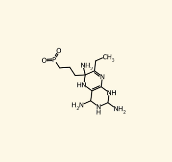 CCC1=NC2=C(NC1(N)CCCP(=O)=O)C(N)NC(N)N2